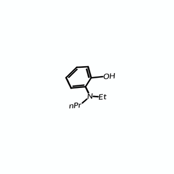 CCCN(CC)c1ccccc1O